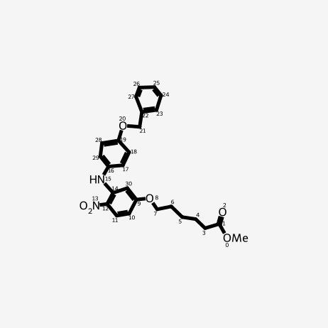 COC(=O)CCCCCOc1ccc([N+](=O)[O-])c(Nc2ccc(OCc3ccccc3)cc2)c1